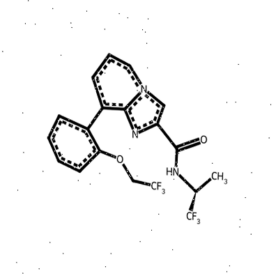 C[C@H](NC(=O)c1cn2cccc(-c3ccccc3OCC(F)(F)F)c2n1)C(F)(F)F